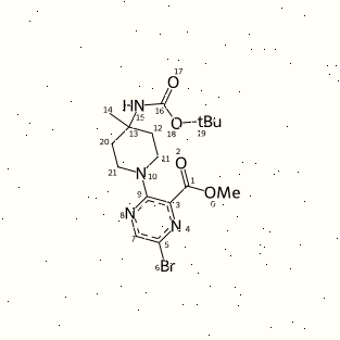 COC(=O)c1nc(Br)cnc1N1CCC(C)(NC(=O)OC(C)(C)C)CC1